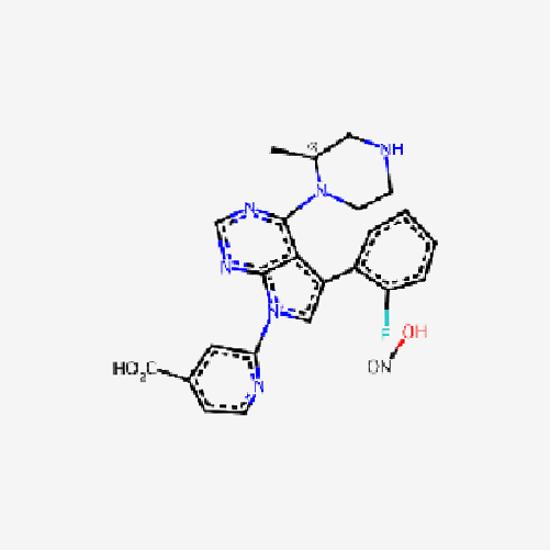 C[C@H]1CNCCN1c1ncnc2c1c(-c1ccccc1F)cn2-c1cc(C(=O)O)ccn1.O=NO